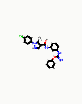 N=C(Nc1cccc(NC(=O)c2cnn(-c3ccc(Cl)cc3)c2C(F)(F)F)c1)Oc1ccccc1